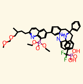 CCOP(=O)(OCC)c1cc(-c2ccc(CC(Cc3ccc(C(F)(F)P(=O)(O)O)cc3)(c3ccccc3)n3nnc4ccccc43)cc2)cc2ccc(CCC(C)COCOC)nc12